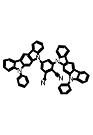 N#Cc1cc(-n2c3ccccc3c3cc4c5ccccc5n(-c5ccccc5)c4cc32)cc(-n2c3ccccc3c3cc4c5ccccc5n(-c5ccccc5)c4cc32)c1C#N